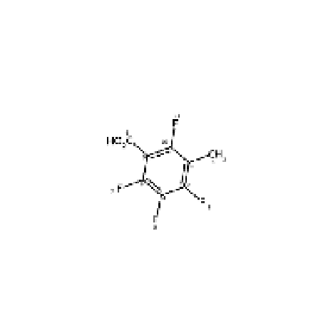 Cc1c(F)c(F)c(F)c(C(=O)O)c1F